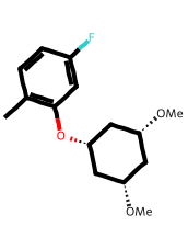 CO[C@@H]1C[C@H](OC)C[C@H](Oc2cc(F)ccc2C)C1